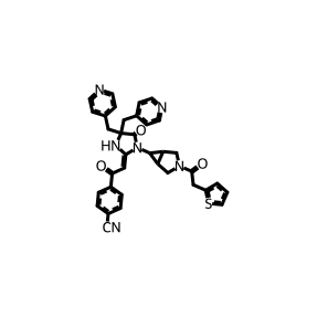 N#Cc1ccc(C(=O)C=C2NC(Cc3ccncc3)(Cc3ccncc3)C(=O)N2C2C3CN(C(=O)Cc4cccs4)CC32)cc1